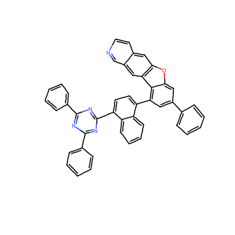 c1ccc(-c2cc(-c3ccc(-c4nc(-c5ccccc5)nc(-c5ccccc5)n4)c4ccccc34)c3c(c2)oc2cc4ccncc4cc23)cc1